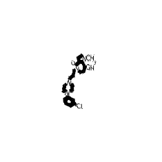 Cn1ccc2c1C(O)CCN(CCCN1CCN(c3cccc(Cl)c3)CC1)C2=O